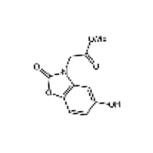 COC(=O)Cn1c(=O)oc2ccc(O)cc21